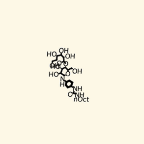 CCCCCCCCNC(=O)Nc1ccc(N[C@@H]2OC(CO)[C@@H](OC3OC(CO)[C@H](O)C(O)[C@@H]3O)[C@H](O)C2O)cc1